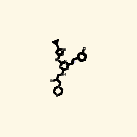 CCC(CNc1nc(/C=C/c2cccc(Cl)c2)nc(Nc2cc(C3CC3)[nH]n2)n1)CN1CCOCC1